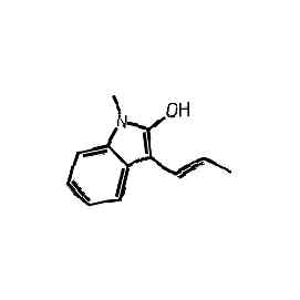 CC=Cc1c(O)n(C)c2ccccc12